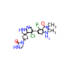 CN(C)C(=O)c1c(N)ccc(-c2cnc3c(c2Cl)[C@]2(CC[C@H](N4CCNC4=O)C2)CN3)c1F